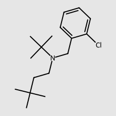 CC(C)(C)CCN(Cc1ccccc1Cl)C(C)(C)C